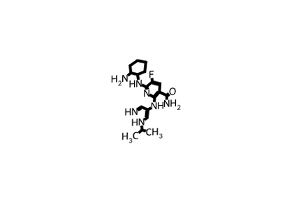 CC(C)N/C=C(\C=N)Nc1nc(NC2CCCCC2N)c(F)cc1C(N)=O